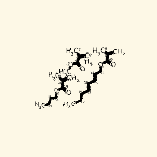 C=C(C)C(=O)OC.C=C(C)C(=O)OCC=CC=CCCC.C=C(C)C(=O)OCCCC